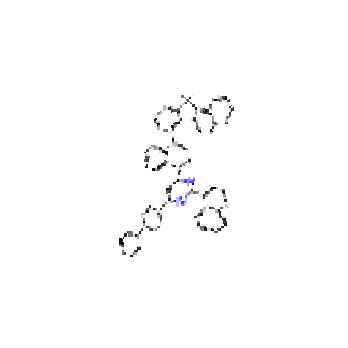 CC1(C)c2cccc(-c3ccc(-c4cc(-c5ccc(-c6ccccc6)cc5)nc(-c5cccc6ccccc56)n4)c4ccccc34)c2-c2ccc3ccccc3c21